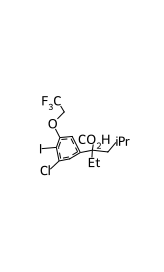 CCC(CC(C)C)(C(=O)O)c1cc(Cl)c(I)c(OCC(F)(F)F)c1